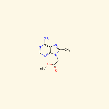 CCCCOC(=O)Cn1c(C)nc2c(N)ncnc21